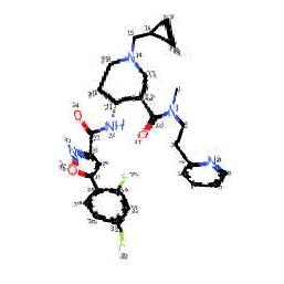 CN(CCc1ccccn1)C(=O)[C@@H]1CN(CC2CC2)CC[C@H]1NC(=O)c1cc(-c2ccc(F)cc2F)on1